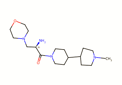 CN1CCC(C2CCN(C(=O)[C@H](N)CN3CCOCC3)CC2)CC1